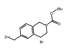 CC(C)(C)OC(=O)N1CCc2cc([CH2][Zn+])ccc2C1.[Br-]